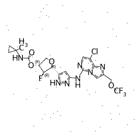 CC1(NC(=O)O[C@@H]2CO[C@H](c3cc(Nc4ncc(Cl)c5nc(COC(F)(F)F)cn45)n[nH]3)[C@H]2F)CC1